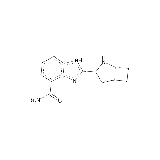 NC(=O)c1cccc2[nH]c(C3CC4CCC4N3)nc12